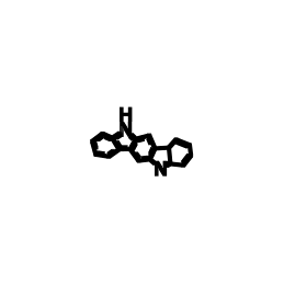 C1=CC2=Nc3cc4c(cc3C2C=C1)[nH]c1ccccc14